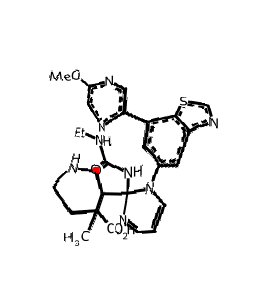 CCNC(=O)NC1(C2CNCCC2(C)C(=O)O)N=CC=CN1c1cc(-c2cnc(OC)cn2)c2scnc2c1